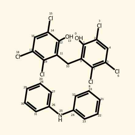 Oc1c(Cl)cc(Cl)c(Cl)c1Cc1c(O)c(Cl)cc(Cl)c1Cl.c1ccc(Nc2ccccc2)cc1